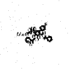 COCCN(c1cc(-c2ccc(F)cc2)c(C(=O)NC(C)(C)c2ccccc2)cc1OC(=O)c1cnn2ccccc12)S(C)(=O)=O